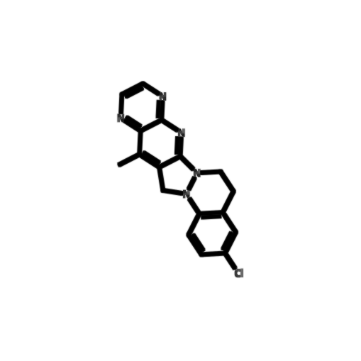 Cc1c2c(nc3nccnc13)N1CCc3cc(Cl)ccc3N1C2